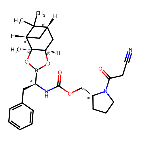 CC1(C)[C@@H]2C[C@H]3OB([C@H](Cc4ccccc4)NC(=O)OC[C@H]4CCCN4C(=O)CC#N)O[C@@]3(C)[C@H]1C2